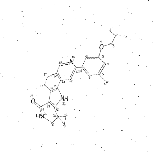 CC(C)COc1cc(F)cc(-c2cc3c(cn2)CCc2c-3[nH]c3c2C(=O)NCC32CC2)c1